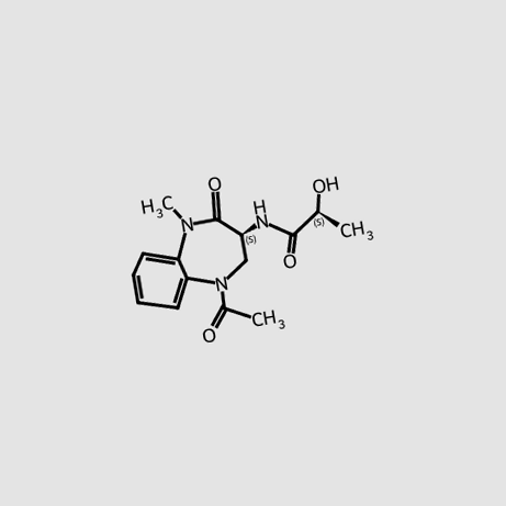 CC(=O)N1C[C@H](NC(=O)[C@H](C)O)C(=O)N(C)c2ccccc21